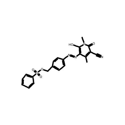 Cc1c(N=Nc2ccc(COS(=O)(=O)c3ccccc3)cc2)c(O)n(C)c(=O)c1C#N